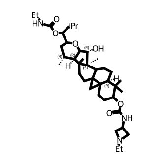 CCNC(=O)OC(C(C)C)C1C[C@@H](C)[C@H]2C(O1)[C@H](O)[C@@]1(C)C3CC[C@H]4C(C)(C)C(OC(=O)NC5CN(CC)C5)CCC45CC35CCC21C